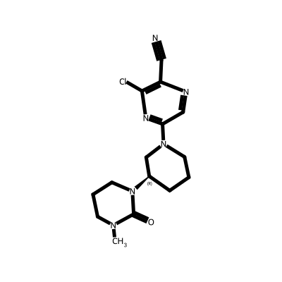 CN1CCCN([C@@H]2CCCN(c3cnc(C#N)c(Cl)n3)C2)C1=O